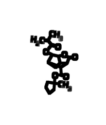 C=C(C)C(=O)OC1C2CC3C1OC(=O)C3C2C(=O)OC1(C)CCCC1